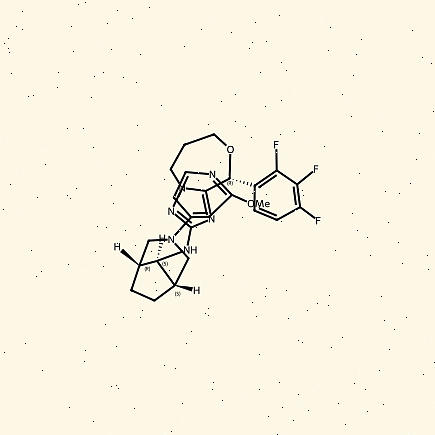 COc1cc(N2C[C@H]3CC[C@@H](C2)[C@@H]3Nc2nc3n(n2)CCCO[C@@H]3c2ccc(F)c(F)c2F)ccn1